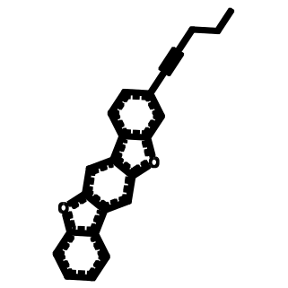 CCCC#Cc1ccc2c(c1)oc1cc3c(cc12)oc1ccccc13